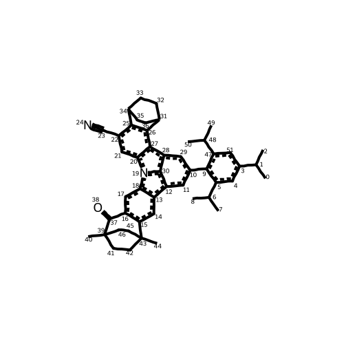 CC(C)c1cc(C(C)C)c(-c2cc3c4cc5c(cc4n4c6cc(C#N)c7c(c6c(c2)c34)C2CCC7CC2)C(=O)C2(C)CCC5(C)CC2)c(C(C)C)c1